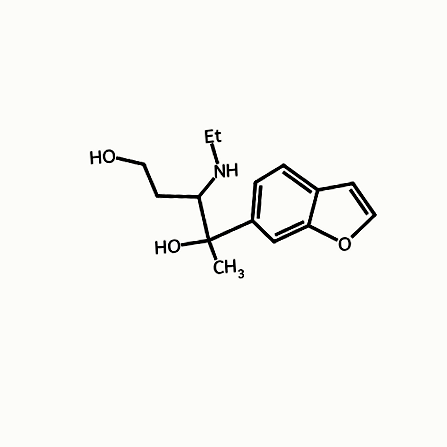 CCNC(CCO)C(C)(O)c1ccc2ccoc2c1